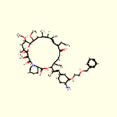 CCC1/C=C(\C)C(F)C(C)CC(OC)C2OC(O)(C(=O)C(=O)N3CCCCC3C(=O)OC(C(C)=CC3CCC(N)C(OCCOCc4ccccc4)C3)C(C)CCC1=O)C(C)CC2OC